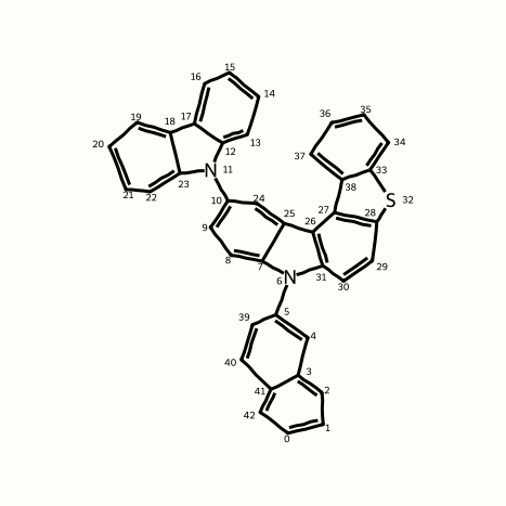 c1ccc2cc(-n3c4ccc(-n5c6ccccc6c6ccccc65)cc4c4c5c(ccc43)sc3ccccc35)ccc2c1